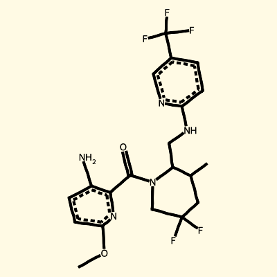 COc1ccc(N)c(C(=O)N2CC(F)(F)CC(C)C2CNc2ccc(C(F)(F)F)cn2)n1